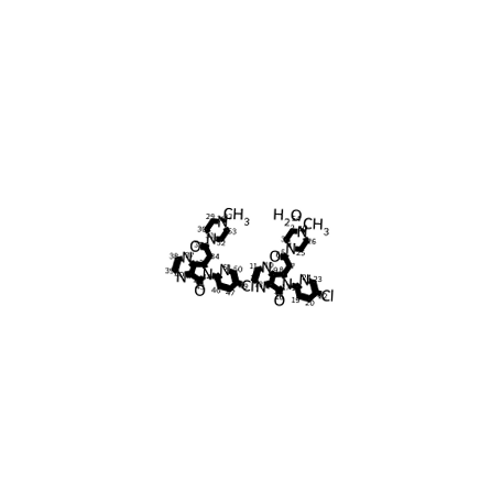 CN1CCN(C(=O)CC2c3nccnc3C(=O)N2c2ccc(Cl)cn2)CC1.CN1CCN(C(=O)CC2c3nccnc3C(=O)N2c2ccc(Cl)cn2)CC1.O